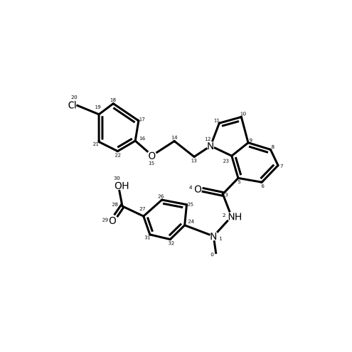 CN(NC(=O)c1cccc2ccn(CCOc3ccc(Cl)cc3)c12)c1ccc(C(=O)O)cc1